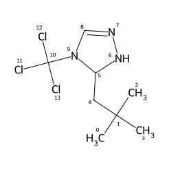 CC(C)(C)CC1NN=CN1C(Cl)(Cl)Cl